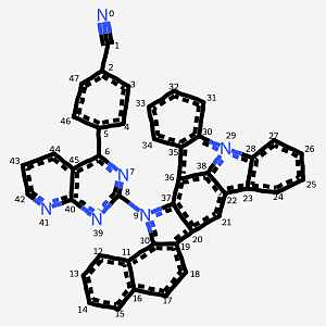 N#Cc1ccc(-c2nc(-n3c4c5ccccc5ccc4c4cc5c6ccccc6n6c7ccccc7c(c43)c56)nc3ncccc23)cc1